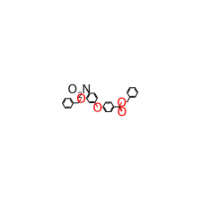 O=C(OCc1ccccc1)c1ccc(Oc2ccc([N+](=O)[O-])c(OCc3ccccc3)c2)cc1